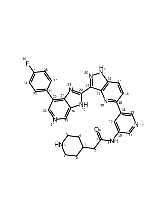 O=C(CC1CCNCC1)Nc1cncc(-c2ccc3[nH]nc(-c4nc5c(-c6ccc(F)cc6)cncc5[nH]4)c3n2)c1